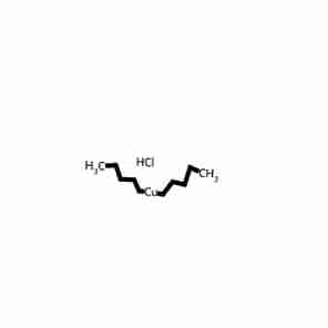 CCCC[CH2][Cu][CH2]CCCC.Cl